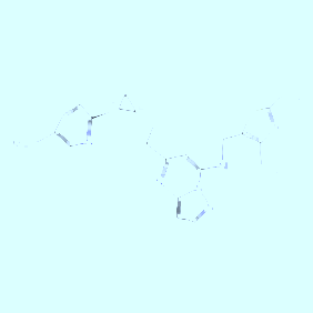 COc1ccc([C@H]2C[C@@H]2CCc2cc(NCc3sc(C)nc3C)n3nccc3n2)nc1